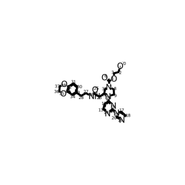 COCCOC(=O)N1CCN(c2ccnc(-n3ccnc3)n2)C(CC(=O)NCCc2ccc3c(c2)OCCO3)C1